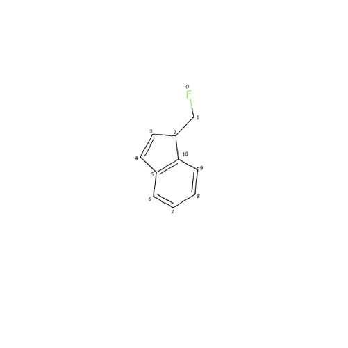 FCC1C=Cc2ccc[c]c21